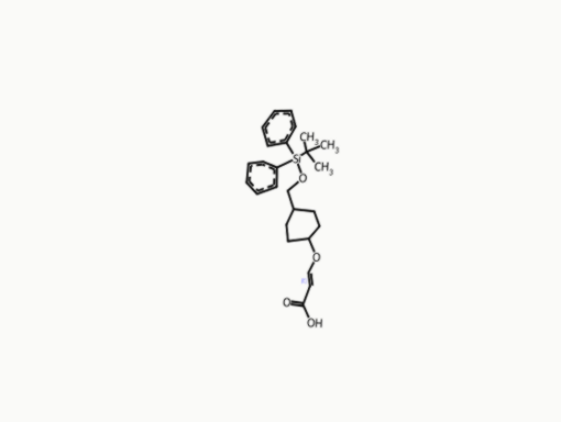 CC(C)(C)[Si](OCC1CCC(O/C=C/C(=O)O)CC1)(c1ccccc1)c1ccccc1